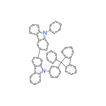 c1ccc(-n2c3ccccc3c3cc(-c4ccc5c6ccccc6n(-c6cccc(C7(c8ccccc8)c8ccccc8-c8ccccc87)c6)c5c4)ccc32)cc1